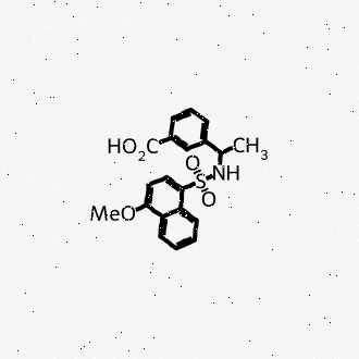 COc1ccc(S(=O)(=O)NC(C)c2cccc(C(=O)O)c2)c2ccccc12